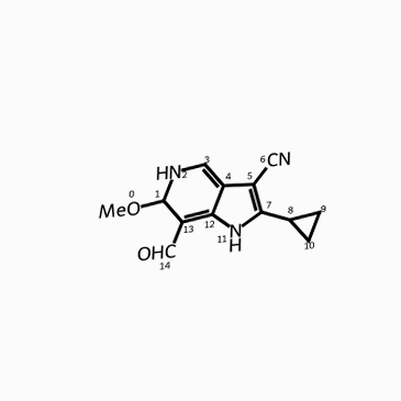 COC1NC=c2c(C#N)c(C3CC3)[nH]c2=C1C=O